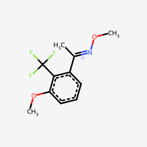 CO/N=C(\C)c1cccc(OC)c1C(F)(F)F